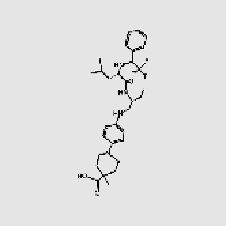 CC[C@@H](CNc1ccc(N2CCC(C)(C(=O)O)CC2)cc1)NC(=O)[C@H](CC(C)C)N[C@@H](c1ccccc1)C(F)(F)F